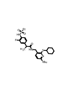 CCS(=O)(=O)Nc1ccc(C(C)C(=O)NCc2ccc(C(C)(C)C)nc2SC2CCCCC2)cc1F